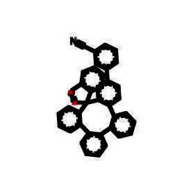 N#Cc1cccc(-c2ccc3c(c2)C2(c4ccccc4-c4ccccc4-c4ccccc4-3)c3ccccc3-c3ccccc32)c1